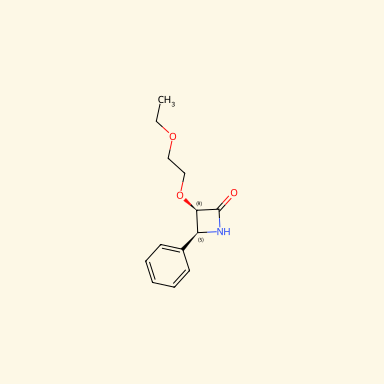 CCOCCO[C@H]1C(=O)N[C@H]1c1ccccc1